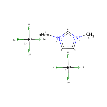 CCCCCCn1cc[n+](C)c1.F[B-](F)(F)F.F[B-](F)(F)F